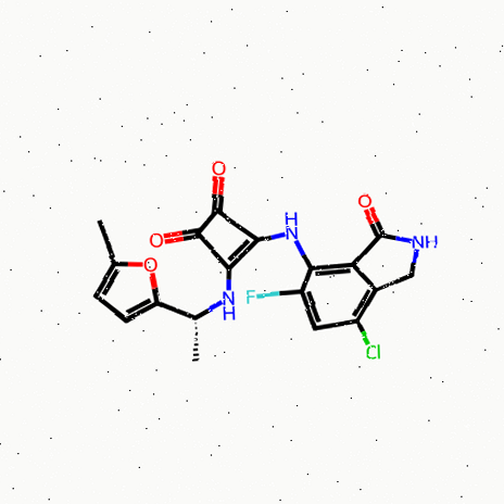 Cc1ccc([C@@H](C)Nc2c(Nc3c(F)cc(Cl)c4c3C(=O)NC4)c(=O)c2=O)o1